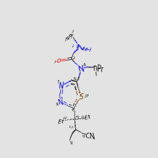 CCCNC(=O)N(CCC)c1nnc(C(CC)(CC)C(C)C#N)s1